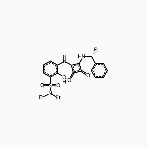 CC[C@@H](Nc1c(Nc2cccc(S(=O)(=O)N(CC)CC)c2O)c(=O)c1=O)c1ccccc1